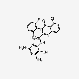 C[C@H](Nc1nc(N)nc(N)c1C#N)c1nc2cccc(Cl)c2c(=O)n1-c1c(F)cccc1F